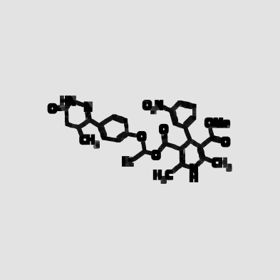 CCC(OC(=O)C1=C(C)NC(C)=C(C(=O)OC)C1c1cccc([N+](=O)[O-])c1)Oc1ccc(C2=NNC(=O)CC2C)cc1